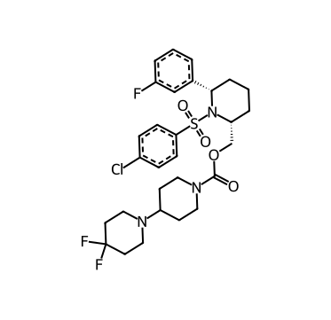 O=C(OC[C@H]1CCC[C@@H](c2cccc(F)c2)N1S(=O)(=O)c1ccc(Cl)cc1)N1CCC(N2CCC(F)(F)CC2)CC1